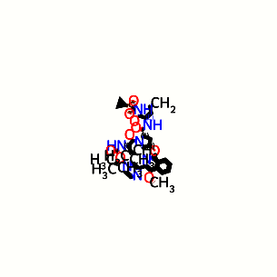 C=C/C=C(/NC(=O)[C@@H]1C[C@@H](Oc2nc(-c3cnccn3)c(OC)c3ccccc23)CN1C(=O)[C@@H](NC(=O)OC(C)(C)C)C(C)(C)C)C(=O)NS(=O)(=O)C1CC1